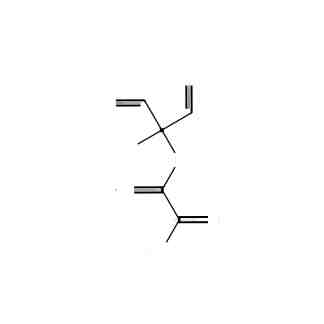 C=CC(C)(C=C)OC(=O)C(=C)C